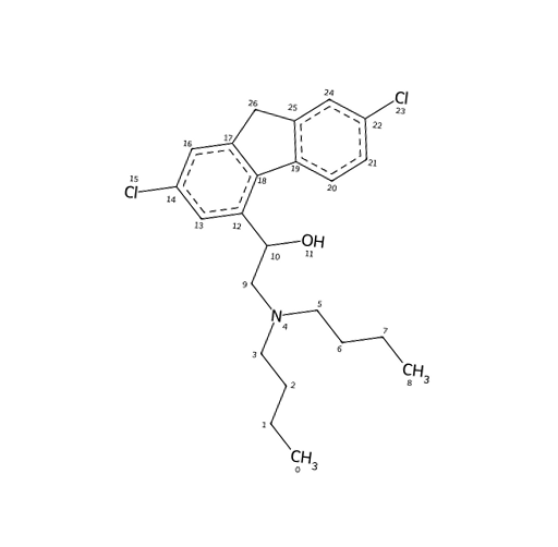 CCCCN(CCCC)CC(O)c1cc(Cl)cc2c1-c1ccc(Cl)cc1C2